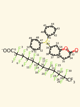 O=C([O-])C(F)(F)C(F)(F)C(F)(F)C(F)(F)C(F)(F)C(F)(F)C(F)(F)C(F)(F)C(F)(F)C(F)(F)C(F)(F)F.O=c1ccc2ccc([S+](c3ccccc3)c3ccccc3)cc2o1